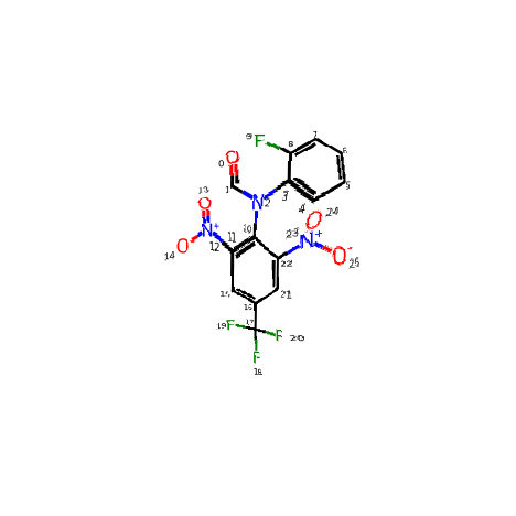 O=CN(c1ccccc1F)c1c([N+](=O)[O-])cc(C(F)(F)F)cc1[N+](=O)[O-]